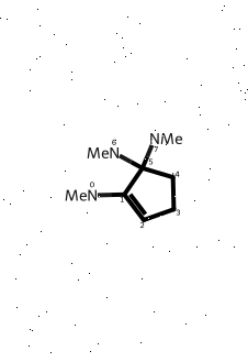 CNC1=CC[CH]C1(NC)NC